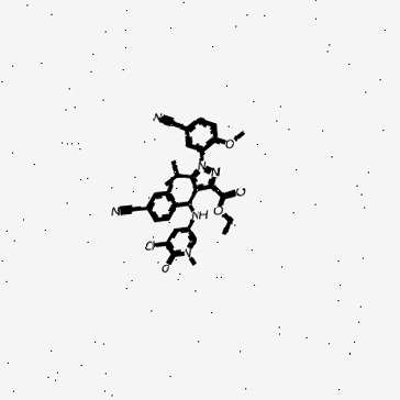 CCOC(=O)c1nn(-c2cc(C#N)ccc2OC)c(C(C)C)c1C(Nc1cc(Cl)c(=O)n(C)c1)c1ccc(C#N)cc1C